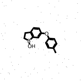 Cc1ccc(Oc2ccc3c(c2)B(O)CC3)cc1